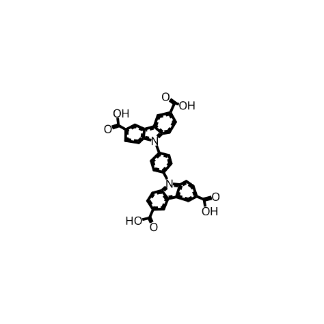 O=C(O)c1ccc2c(c1)c1cc(C(=O)O)ccc1n2-c1ccc(-n2c3ccc(C(=O)O)cc3c3cc(C(=O)O)ccc32)cc1